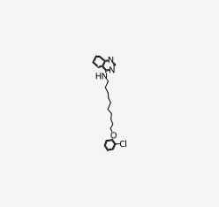 Clc1ccccc1OCCCCCCCCCCNc1ncnc2ccccc12